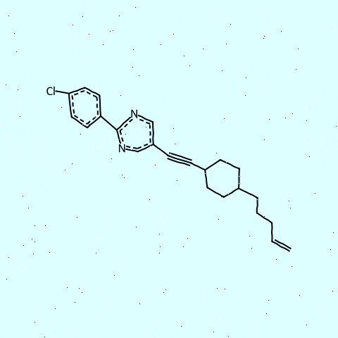 C=CCCCC1CCC(C#Cc2cnc(-c3ccc(Cl)cc3)nc2)CC1